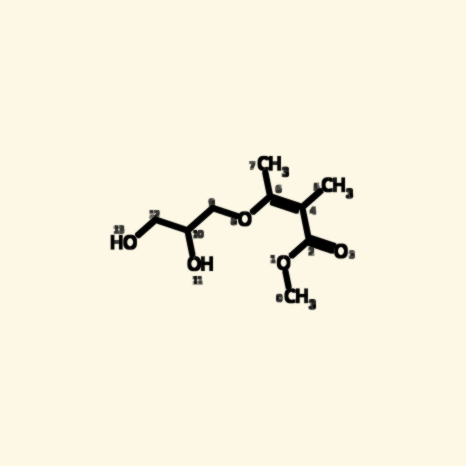 COC(=O)C(C)=C(C)OCC(O)CO